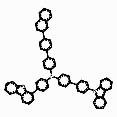 c1ccc2cc(-c3ccc(-c4ccc(N(c5ccc(-c6ccc(-n7c8ccccc8c8ccccc87)cc6)cc5)c5ccc(-c6cccc7c6sc6ccccc67)cc5)cc4)cc3)ccc2c1